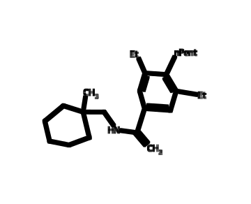 C=C(NCC1(C)CCCCC1)c1cc(CC)c(CCCCC)c(CC)c1